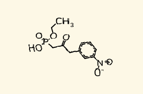 CCOP(=O)(O)CC(=O)Cc1cccc([N+](=O)[O-])c1